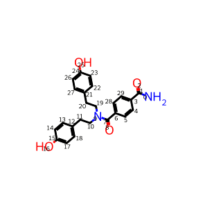 NC(=O)c1ccc(C(=O)N(CCc2ccc(O)cc2)CCc2ccc(O)cc2)cc1